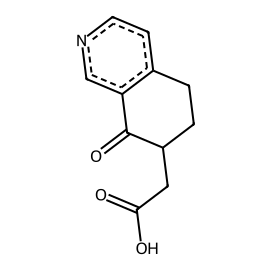 O=C(O)CC1CCc2ccncc2C1=O